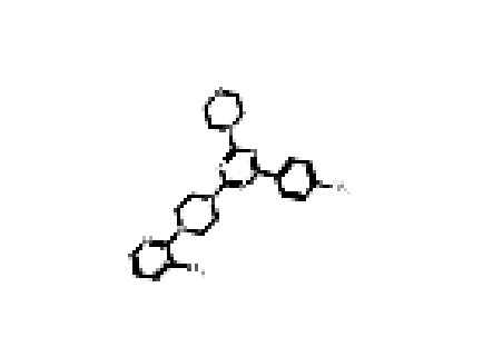 FC(F)(F)c1ccc(-c2nc(N3CCOCC3)nc(N3CCN(c4ncccc4C(F)(F)F)CC3)n2)cc1